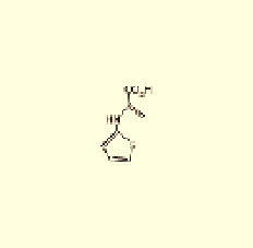 C=C(Nc1cccs1)C(=O)O